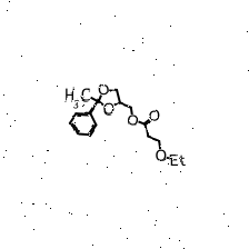 CCOCCC(=O)OCC1COC(C)(c2ccccc2)O1